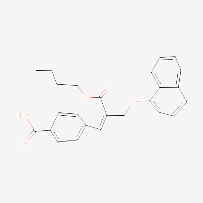 CCCCOC(=O)C(=Cc1ccc(C(=O)O)cc1)COc1cccc2ccccc12